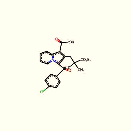 CCOC(=O)C(C)(C)Cc1c(C(=O)C(C)(C)C)c2ccccn2c1C(=O)c1ccc(Cl)cc1